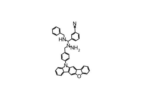 N#Cc1cccc(C(NCc2ccccc2)N(N)Cc2ccc(-n3c4ccccc4c4cc5oc6ccccc6c5cc43)cc2)c1